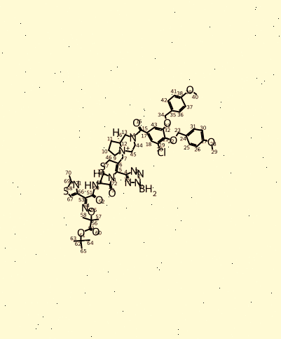 Bn1nnc(C2=C(C[N+]34CCC[C@H]3CN(C(=O)c3cc(Cl)c(OCc5ccc(OC)cc5)c(OCc5ccc(OC)cc5)c3)CC4)CS[C@@H]3[C@H](NC(=O)/C(=N\OC(C)(C)C(=O)OC(C)(C)C)c4csc(C)n4)C(=O)N23)n1